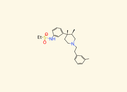 CCS(=O)(=O)Nc1cccc([C@@]2(C)CCN(CCc3cccc(C)c3)C[C@@H]2C)c1